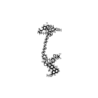 Cc1ncsc1-c1ccc([C@H](C)NC[C@@H]2C[C@@H](O)CN2C(=O)[C@@H](NC(=O)COCCOCCOCCOC2CCN(C[C@@H](C)OC3N=c4c(F)c(-c5cc(O)cc6ccccc56)c(Cl)cc4=C(N4CCN(C(=O)OC(C)(C)C)CC4)N3)CC2)C(C)(C)C)cc1